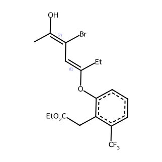 CCOC(=O)Cc1c(O/C(=C/C(Br)=C(\C)O)CC)cccc1C(F)(F)F